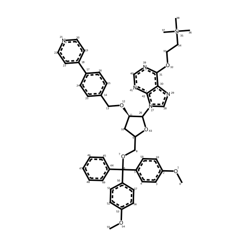 COc1ccc(C(OCC2C[C@@H](OCc3ccc(-c4ccncc4)cc3)C(n3cnc4c(OCC[Si](C)(C)C)ncnc43)O2)(c2ccccc2)c2ccc(OC)cc2)cc1